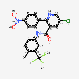 Cc1ccc(NC(=O)c2cc(Cl)cnc2-c2ccc([N+](=O)[O-])cc2)cc1C(F)(F)F